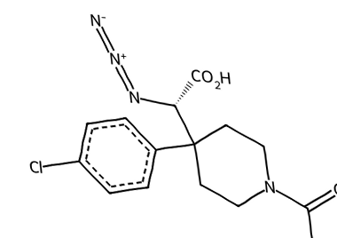 COC(=O)N1CCC(c2ccc(Cl)cc2)([C@H](N=[N+]=[N-])C(=O)O)CC1